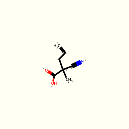 C=CCC(C)(C#N)C(=O)O